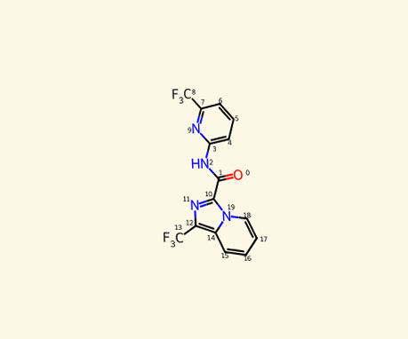 O=C(Nc1cccc(C(F)(F)F)n1)c1nc(C(F)(F)F)c2ccccn12